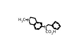 CN1CCc2cc(N(Cc3ccccc3)C(=O)O)ccc2C1